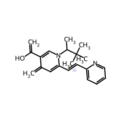 C=C(O)C1=CN(C(C)C(C)(C)C)C(/C=C/c2ccccn2)=CC1=C